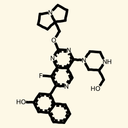 OCC1CN(c2nc(OCC34CCCN3CCC4)nc3c(F)c(-c4cc(O)cc5ccccc45)ncc23)CCN1